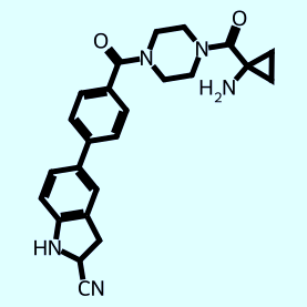 N#CC1Cc2cc(-c3ccc(C(=O)N4CCN(C(=O)C5(N)CC5)CC4)cc3)ccc2N1